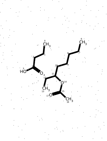 CCCC(=O)O.CCCCCC(CC)OC(C)=O